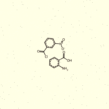 Nc1ccccc1C(=O)O.O=C(Cl)c1cccc([N+](=O)[O-])c1